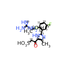 CS(=O)(=O)O.Cc1nc(-c2cc(F)ccc2F)[nH]c1C(=O)CS(=O)(=O)O.N=C(N)N